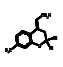 CCC1(CC)CC(=CC(=O)O)c2ccc(C(F)(F)F)cc2O1